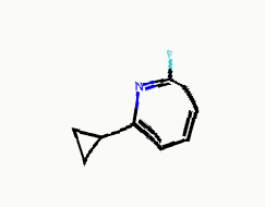 Fc1cccc(C2CC2)n1